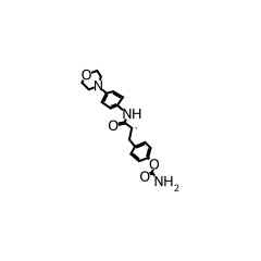 NC(=O)Oc1ccc(C[CH]C(=O)Nc2ccc(N3CCOCC3)cc2)cc1